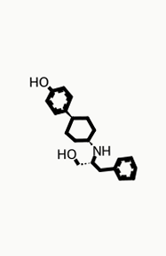 OC[C@@H](Cc1ccccc1)N[C@H]1CC[C@H](c2ccc(O)cc2)CC1